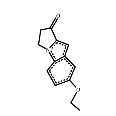 CCOc1ccc2c(c1)cc1n2CCC1=O